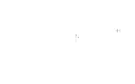 CC1C=CC(=CNCCO)C=C1